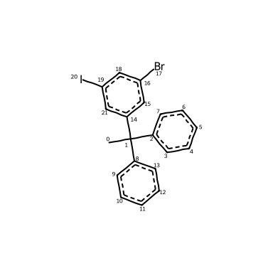 CC(c1ccccc1)(c1ccccc1)c1cc(Br)cc(I)c1